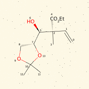 C=C[C@](C)(C(=O)OCC)[C@H](O)[C@H]1COC(C)(C)O1